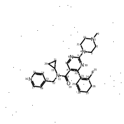 CN1CCN(c2ncc(C(=O)N(Cc3ccncc3)C3CC3)c(C3=C(F)CCC=C3)n2)CC1